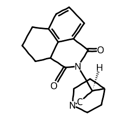 O=C1c2cccc3c2C(CCC3)C(=O)N1[C@@H]1CN2CCC1CC2